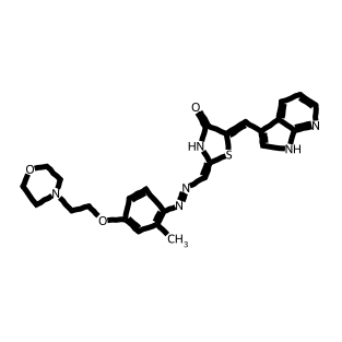 Cc1cc(OCCN2CCOCC2)ccc1N=NC=c1[nH]c(=O)c(=Cc2c[nH]c3ncccc23)s1